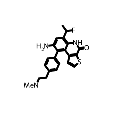 CNCCc1ccc(-c2c(N)cc(C(C)F)c3[nH]c(=O)c4sccc4c23)cc1